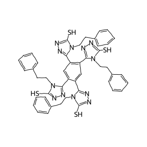 Sc1nnc(-c2cc(-c3nnc(S)n3CCc3ccccc3)c(-c3nnc(S)n3CCc3ccccc3)cc2-c2nnc(S)n2CCc2ccccc2)n1CCc1ccccc1